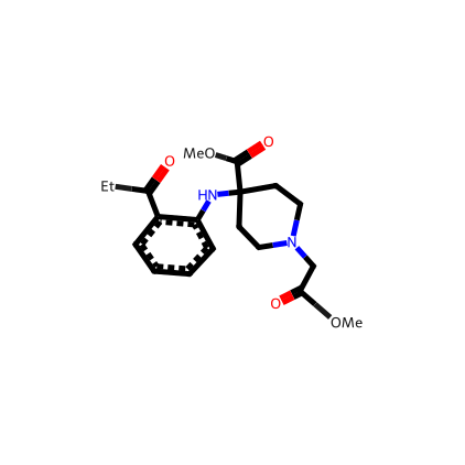 CCC(=O)c1ccccc1NC1(C(=O)OC)CCN(CC(=O)OC)CC1